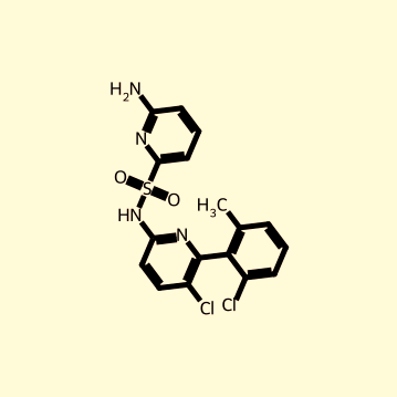 Cc1cccc(Cl)c1-c1nc(NS(=O)(=O)c2cccc(N)n2)ccc1Cl